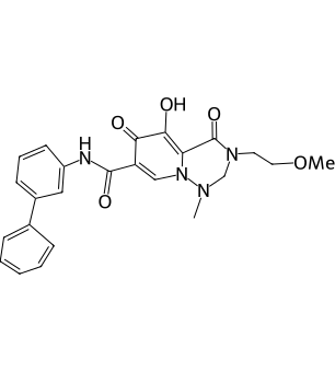 COCCN1CN(C)n2cc(C(=O)Nc3cccc(-c4ccccc4)c3)c(=O)c(O)c2C1=O